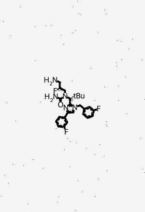 CC(C)(C)[C@H](c1nc(-c2cccc(F)c2)cn1Cc1cccc(F)c1)N(C[C@@H](F)CN)C(N)=O